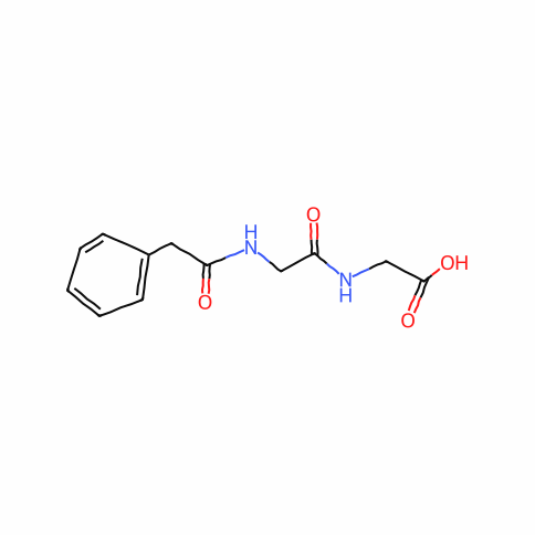 O=C(O)CNC(=O)CNC(=O)Cc1ccccc1